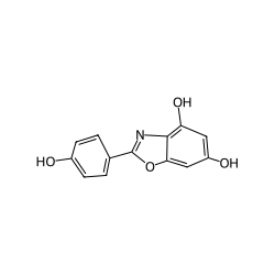 Oc1ccc(-c2nc3c(O)cc(O)cc3o2)cc1